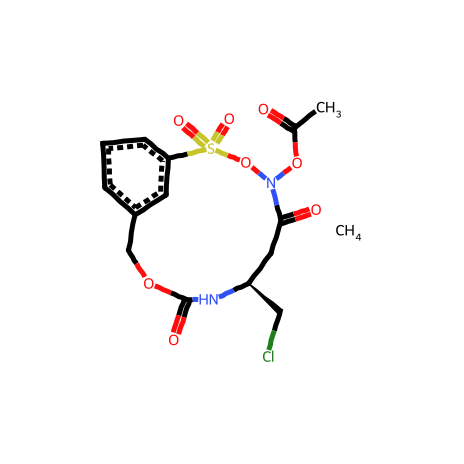 C.CC(=O)ON1OS(=O)(=O)c2cccc(c2)COC(=O)N[C@H](CCl)CC1=O